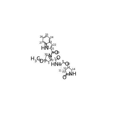 CO[C@H]1C[C@@H](C(=O)N[C@H](C=O)C[C@@H]2CCNC2=O)N(C(=O)c2cc3ccccc3[nH]2)C1